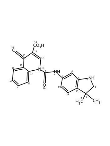 CC1(C)CNc2cc(NC(=O)n3cc(C(=O)O)c(=O)c4ccccc43)ccc21